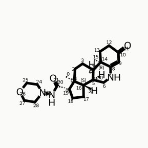 C[C@]12CC[C@H]3[C@@H](CNC4=CC(=O)CC[C@@]43C)[C@@H]1CC[C@@H]2C(=O)NN1CCOCC1